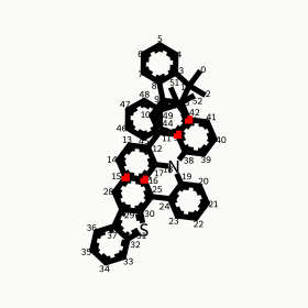 CC1(C)c2ccccc2-c2cc(-c3ccccc3N(c3ccccc3-c3cccc4c3sc3ccccc34)c3cccc4c3-c3ccccc3C4(C)C)ccc21